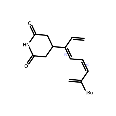 C=C/C(=C\C=C/C(=C)C(C)(C)C)C1CC(=O)NC(=O)C1